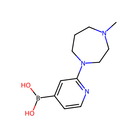 CN1CCCN(c2cc(B(O)O)ccn2)CC1